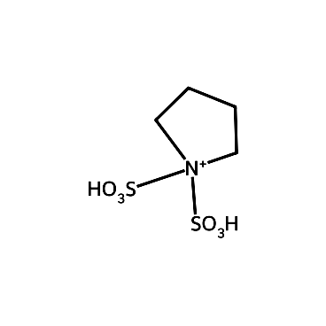 O=S(=O)(O)[N+]1(S(=O)(=O)O)CCCC1